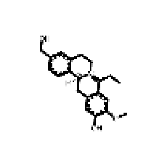 CCC1=[N+]2CCc3cc(CO)ccc3[C@@H]2Cc2cc(O)c(OC)cc21